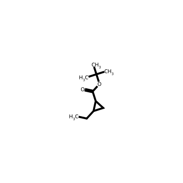 CCC1CC1C(=O)OC(C)(C)C